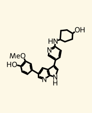 COc1cc(-c2cnc3[nH]cc(-c4ccc(NC5CCC(O)CC5)nc4)c3c2)ccc1O